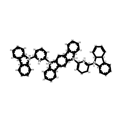 C1=CC2c3ccccc3N(C3=NC(n4c5ccccc5c5cc6c(cc54)c4ccccc4n6-c4cccc(-n5c6ccccc6c6ccccc65)n4)=CCC3)C2C=C1